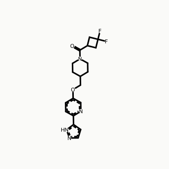 O=C(C1CC(F)(F)C1)N1CCC(COc2ccc(-c3ccn[nH]3)nc2)CC1